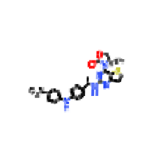 CC(Nc1nc(N2C(=O)OC[C@@H]2C(C)C)c2sccc2n1)c1ccc(Nc2ccc([N+](=O)[O-])cc2)cc1